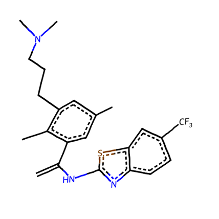 C=C(Nc1nc2ccc(C(F)(F)F)cc2s1)c1cc(C)cc(CCCN(C)C)c1C